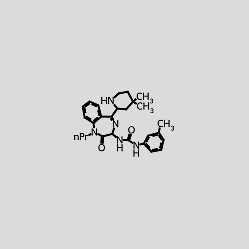 CCCN1C(=O)C(NC(=O)Nc2cccc(C)c2)N=C(C2CC(C)(C)CCN2)c2ccccc21